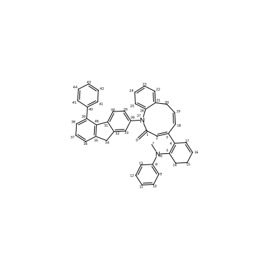 C=C1/C=C(C2=C(N(C)c3ccccc3)CCC=C2)\C=C/Cc2ccccc2N1c1ccc2c(c1)Cc1cccc(-c3ccccc3)c1-2